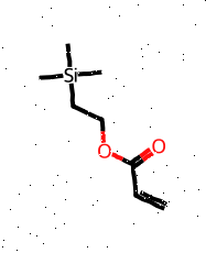 C=CC(=O)OCC[Si](C)(C)C